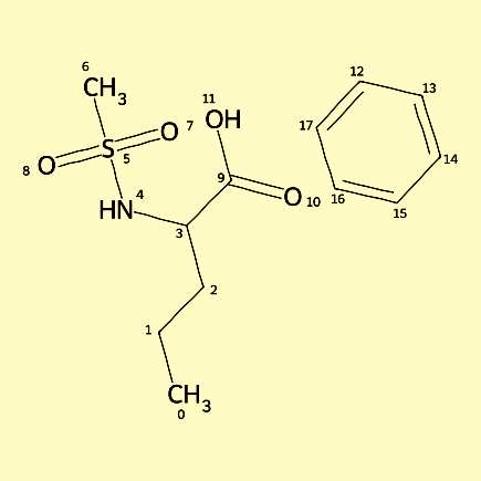 CCCC(NS(C)(=O)=O)C(=O)O.c1ccccc1